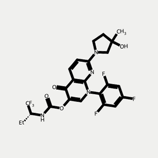 CC[C@@H](NC(=O)Oc1cn(-c2c(F)cc(F)cc2F)c2nc(N3CCC(C)(O)C3)ccc2c1=O)C(F)(F)F